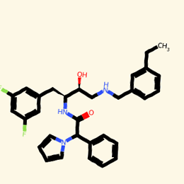 CCc1cccc(CNC[C@H](O)[C@H](Cc2cc(F)cc(F)c2)NC(=O)C(c2ccccc2)n2cccc2)c1